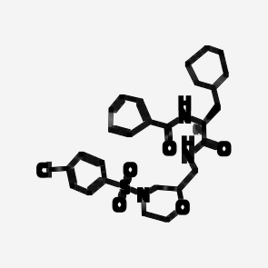 O=C(N[C@@H](CC1CCCCC1)C(=O)NCC1CN(S(=O)(=O)c2ccc(Cl)cc2)CCO1)c1ccccc1